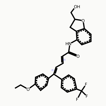 CCOc1ccc(/C(=C/C=C/C(=O)Nc2cccc3c2CC(CO)O3)c2ccc(C(F)(F)F)cc2)cc1